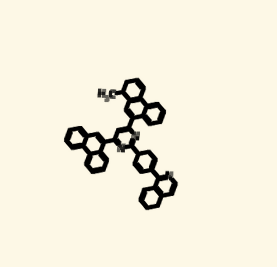 CC1CC=Cc2c1cc(-c1cc(-c3cc4ccccc4c4ccccc34)nc(C3C=CC(c4nccc5c4C=CCC5)=CC3)n1)c1ccccc21